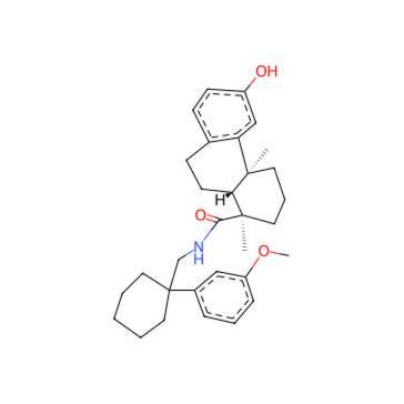 COc1cccc(C2(CNC(=O)[C@]3(C)CCC[C@]4(C)c5cc(O)ccc5CC[C@@H]34)CCCCC2)c1